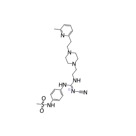 Cc1cccc(CCN2CCN(CCN/C(=N\C#N)Nc3ccc(NS(C)(=O)=O)cc3)CC2)n1